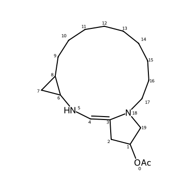 CC(=O)OC1CC2=CNC3CC3CCCCCCCCCN2C1